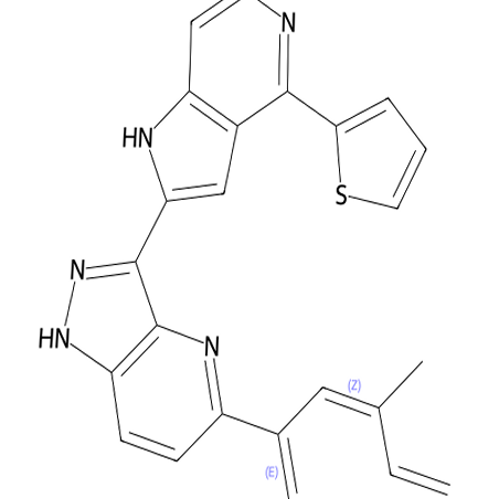 C=C/C(C)=C\C(=C/C)c1ccc2[nH]nc(-c3cc4c(-c5cccs5)nccc4[nH]3)c2n1